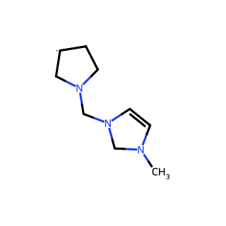 CN1C=CN(CN2C[CH]CC2)C1